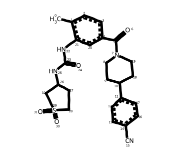 Cc1ccc(C(=O)N2CCC(c3ccc(C#N)cc3)CC2)cc1NC(=O)NC1CCS(=O)(=O)C1